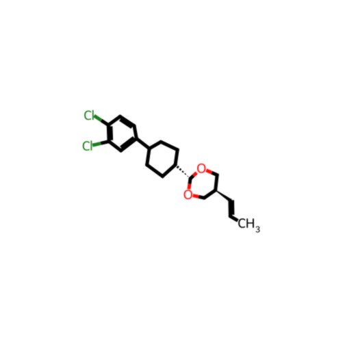 C/C=C/[C@H]1CO[C@H](C2CCC(c3ccc(Cl)c(Cl)c3)CC2)OC1